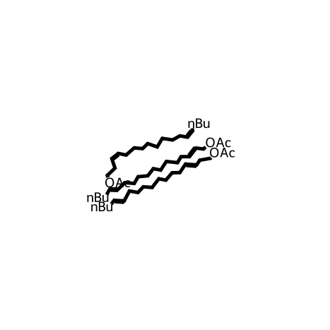 CCCC/C=C/CCCCCCCC/C=C/CCOC(C)=O.CCCC/C=C/CCCCCCCCC/C=C/COC(C)=O.CCCC/C=C\CCCCCCCC/C=C\CCOC(C)=O